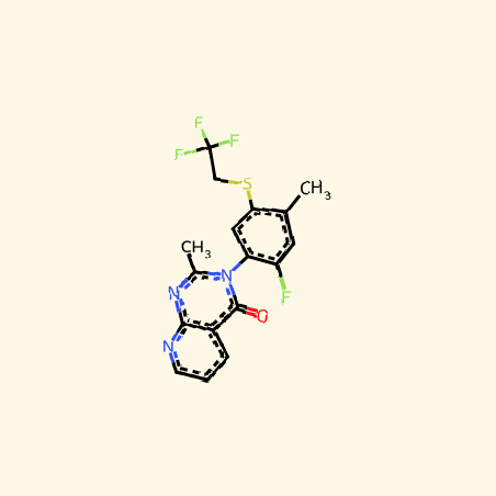 Cc1cc(F)c(-n2c(C)nc3ncccc3c2=O)cc1SCC(F)(F)F